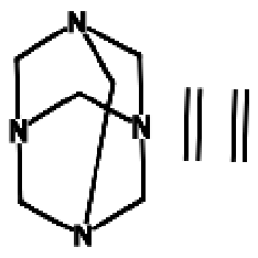 C1N2CN3CN1CN(C2)C3.C=C.C=C